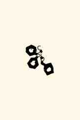 CC[Si](OCC1CC2C=CC1C2)(c1ccccc1)c1ccccc1